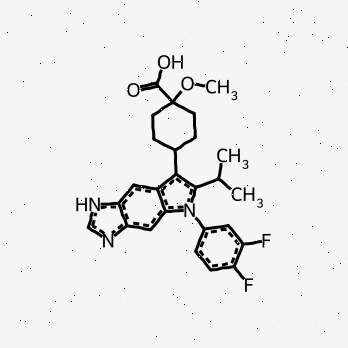 COC1(C(=O)O)CCC(c2c(C(C)C)n(-c3ccc(F)c(F)c3)c3cc4nc[nH]c4cc23)CC1